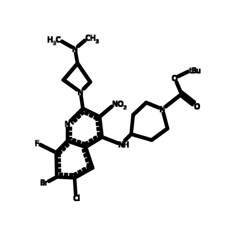 CN(C)C1CN(c2nc3c(F)c(Br)c(Cl)cc3c(NC3CCN(C(=O)OC(C)(C)C)CC3)c2[N+](=O)[O-])C1